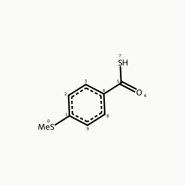 CSc1ccc(C(=O)S)cc1